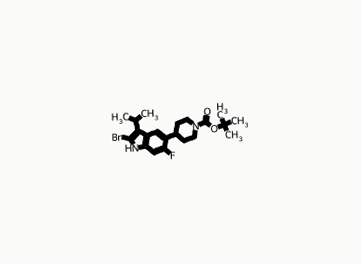 CC(C)c1c(Br)[nH]c2cc(F)c(C3CCN(C(=O)OC(C)(C)C)CC3)cc12